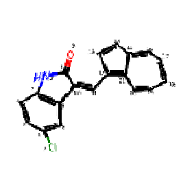 O=C1Nc2ccc(Cl)cc2C1=Cc1ccc2cccccc1-2